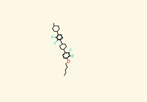 CCCCCOc1ccc(C2CCC(c3ccc(C4CCC(C)CC4)c(F)c3F)CC2)c(F)c1F